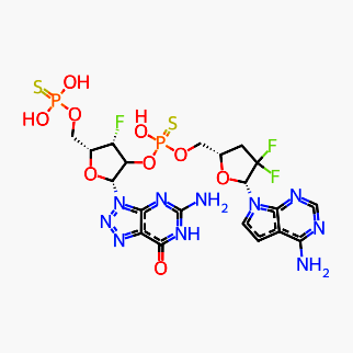 Nc1nc2c(nnn2[C@@H]2O[C@H](COP(O)(O)=S)[C@H](F)C2OP(O)(=S)OC[C@@H]2CC(F)(F)[C@H](n3ccc4c(N)ncnc43)O2)c(=O)[nH]1